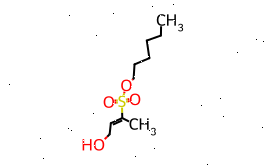 CCCCCCOS(=O)(=O)C(C)=CCO